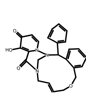 O=C1c2c(O)c(=O)ccn2N2CN1C/C=C/COCc1ccccc1C2c1ccccc1